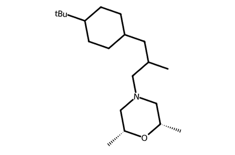 CC(CC1CCC(C(C)(C)C)CC1)CN1C[C@@H](C)O[C@@H](C)C1